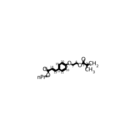 C=C(C)C(=O)OCCOc1ccc(C=CC(=O)OCCC)cc1